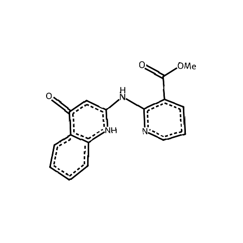 COC(=O)c1cccnc1Nc1cc(=O)c2ccccc2[nH]1